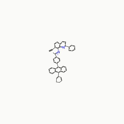 C#Cc1ccc2ccc(-c3ccccc3)nc2c1/N=C(\C)c1ccc(-c2c3ccccc3c(C3=CCCC=C3)c3ccccc23)cc1